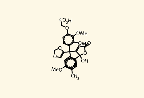 COc1ccc(C2(O)OC(=O)C=C2C(C2=COCO2)(c2ccc(C)cc2)c2ccc(OCC(=O)O)c(OC)c2OC)cc1